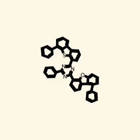 c1ccc(-c2nc(-c3cccc4c3oc3cccc(-c5ccccc5)c34)nc(-c3cccc4c3sc3c(-c5ccccc5)cccc34)n2)cc1